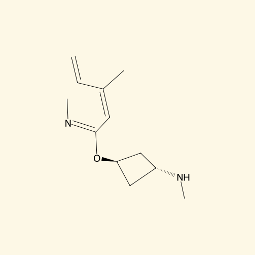 C=C/C(C)=C\C(=N/C)O[C@H]1C[C@H](NC)C1